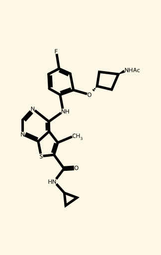 CC(=O)N[C@H]1C[C@H](Oc2cc(F)ccc2Nc2ncnc3sc(C(=O)NC4CC4)c(C)c23)C1